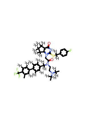 [2H]c1c([2H])c(C([2H])([2H])N(CCN(C([2H])([2H])C)C([2H])([2H])C)C(=O)Cn2c(SC([2H])([2H])c3ccc(F)cc3)nc(=O)c3c2C([2H])([2H])C([2H])([2H])C3([2H])[2H])c([2H])c([2H])c1-c1c([2H])c([2H])c(C(F)(F)F)c(C)c1[2H]